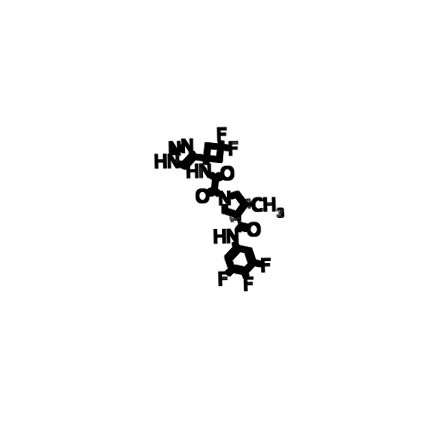 C[C@@H]1CN(C(=O)C(=O)NC2(c3c[nH]nn3)CC(F)(F)C2)C[C@H]1C(=O)Nc1cc(F)c(F)c(F)c1